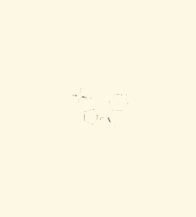 CS(=O)(=O)OC1CCN(C(=O)C2CCOCC2)C1